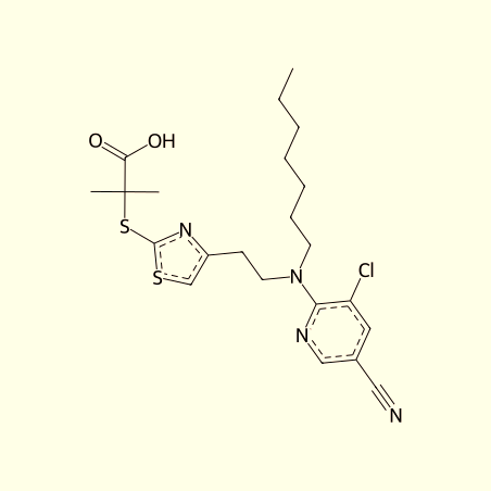 CCCCCCCN(CCc1csc(SC(C)(C)C(=O)O)n1)c1ncc(C#N)cc1Cl